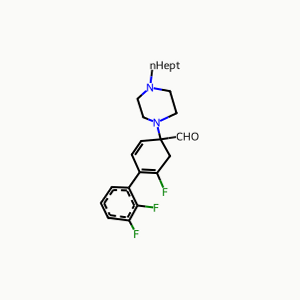 CCCCCCCN1CCN(C2(C=O)C=CC(c3cccc(F)c3F)=C(F)C2)CC1